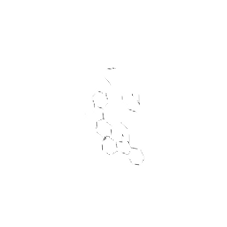 CC1(C)C2=C(CCC=C2)c2cc3c(cc21)oc1cccc(C2=C(n4c5ccccc5c5ccccc54)CCC=C(C#N)C2)c13